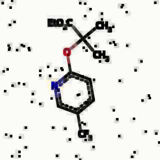 CCOC(=O)C(C)(C)Oc1ccc(C(F)(F)F)cn1